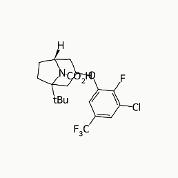 CC(C)(C)C12CC[C@H](CC(Oc3cc(C(F)(F)F)cc(Cl)c3F)C1)N2C(=O)O